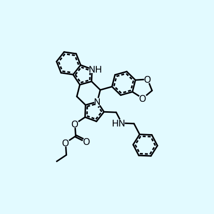 CCOC(=O)Oc1cc(CNCc2ccccc2)n2c1Cc1c([nH]c3ccccc13)C2c1ccc2c(c1)OCO2